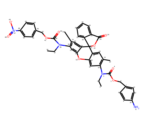 CCN(C(=O)OCc1ccc(N)cc1)c1cc2c(cc1C)C1(OC(=O)c3ccccc31)c1cc(C)c(N(CC)C(=O)OCc3ccc([N+](=O)[O-])cc3)cc1O2